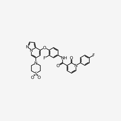 O=C(Nc1ccc(Oc2cc(N3CCS(=O)(=O)CC3)cn3nccc23)c(F)c1)c1cccn(-c2ccc(F)cc2)c1=O